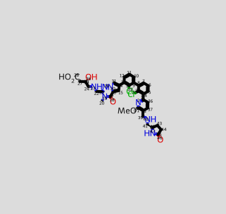 COc1nc(-c2cccc(-c3cccc(-c4cc5c(=O)n(C)c(CNC[C@@H](O)CC(=O)O)nn5c4)c3Cl)c2Cl)ccc1CNC[C@H]1CCC(=O)N1